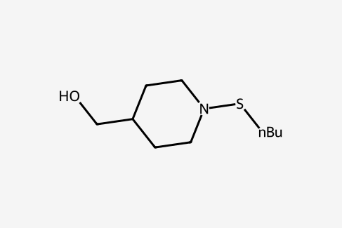 CCCCSN1CCC(CO)CC1